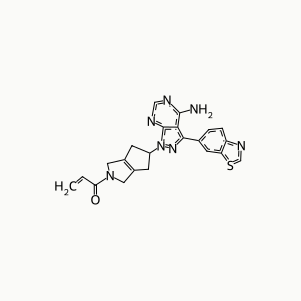 C=CC(=O)N1CC2=C(CC(n3nc(-c4ccc5ncsc5c4)c4c(N)ncnc43)C2)C1